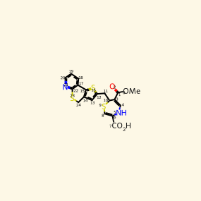 COC(=O)C1=CNC(C(=O)O)=CSC1Cc1cc2c(s1)-c1cccnc1SC2